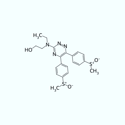 CCN(CCO)c1nnc(-c2ccc([S+](C)[O-])cc2)c(-c2ccc([S+](C)[O-])cc2)n1